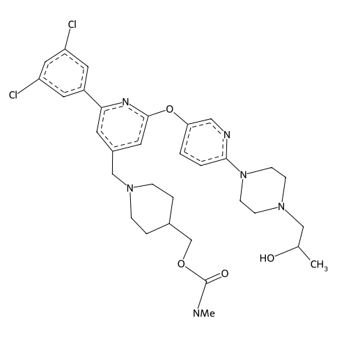 CNC(=O)OCC1CCN(Cc2cc(Oc3ccc(N4CCN(CC(C)O)CC4)nc3)nc(-c3cc(Cl)cc(Cl)c3)c2)CC1